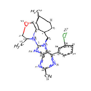 CC1CCC(Cn2c(N3CCOCC3C)nc3nc(C#N)nc(-c4cccc(Cl)c4)c32)CC1